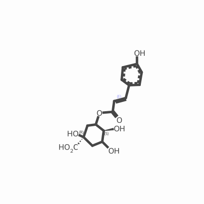 O=C(/C=C/c1ccc(O)cc1)OC1C[C@@](O)(C(=O)O)CC(O)[C@@H]1O